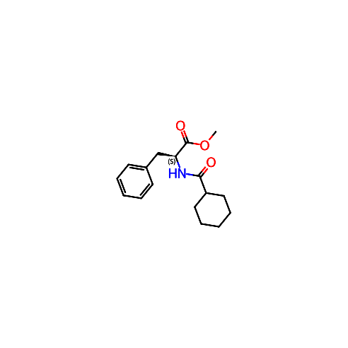 COC(=O)[C@H](Cc1ccccc1)NC(=O)C1CCCCC1